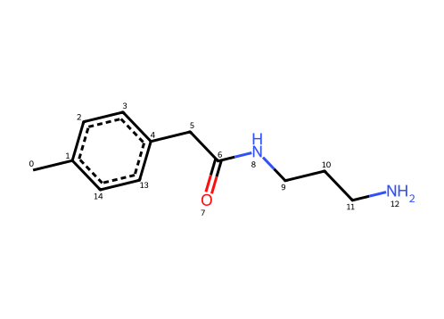 Cc1ccc(CC(=O)NCCCN)cc1